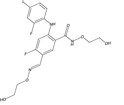 O=C(NOCCO)c1cc(C=NOCCO)c(F)cc1Nc1ccc(I)cc1F